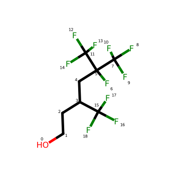 OCCC(CC(F)(C(F)(F)F)C(F)(F)F)C(F)(F)F